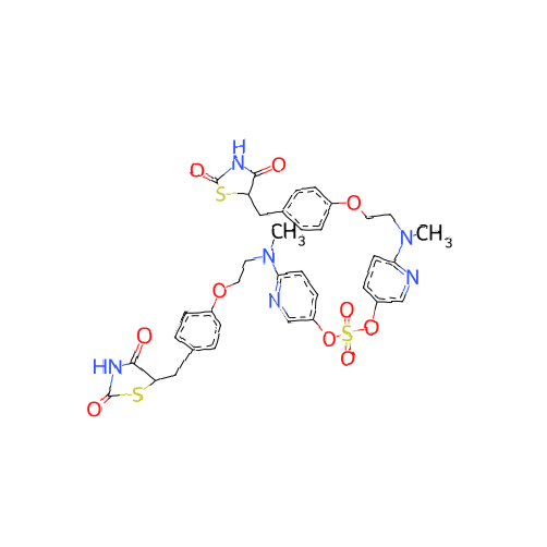 CN(CCOc1ccc(CC2SC(=O)NC2=O)cc1)c1ccc(OS(=O)(=O)Oc2ccc(N(C)CCOc3ccc(CC4SC(=O)NC4=O)cc3)nc2)cn1